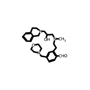 CN(CCc1cc(CN2CCOCC2)ccc1C=O)CC(O)CN1CCc2ccccc2C1